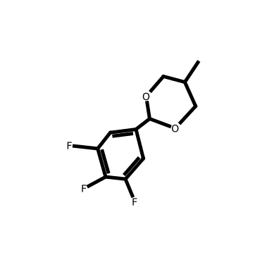 CC1COC(c2cc(F)c(F)c(F)c2)OC1